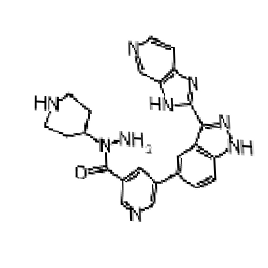 NN(C(=O)c1cncc(-c2ccc3[nH]nc(-c4nc5ccncc5[nH]4)c3c2)c1)C1CCNCC1